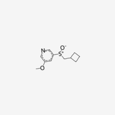 COc1cncc([S+]([O-])CC2CCC2)c1